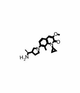 COc1cc2ccc(N3CCC([C@H](C)N)C3)c(C)c2n(C2CC2)c1=O